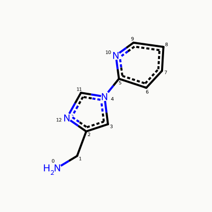 NCc1cn(-c2ccccn2)cn1